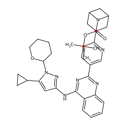 CC(C)(C)OC(=O)N1C2CC1CN(c1ccc(-c3nc(Nc4cc(C5CC5)n(C5CCCCO5)n4)c4ccccc4n3)cn1)C2